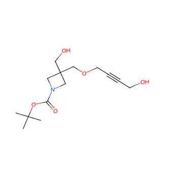 CC(C)(C)OC(=O)N1CC(CO)(COCC#CCO)C1